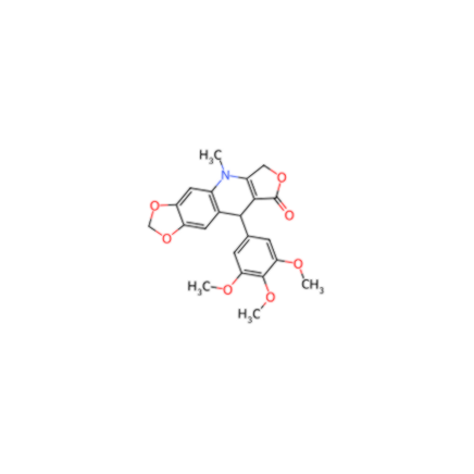 COc1cc(C2C3=C(COC3=O)N(C)c3cc4c(cc32)OCO4)cc(OC)c1OC